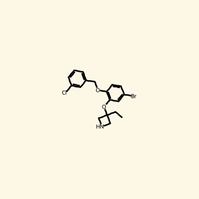 CCC1(Oc2cc(Br)ccc2OCc2cccc(Cl)c2)CNC1